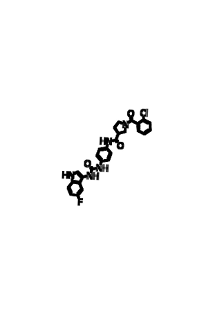 O=C(Nc1ccc(NC(=O)C2CCN(C(=O)c3ccccc3Cl)C2)cc1)Nc1c[nH]c2ccc(F)cc12